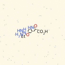 CCC(NC(=N)N)Oc1ccc2[nH]c(=O)c(CC(=O)O)cc2c1